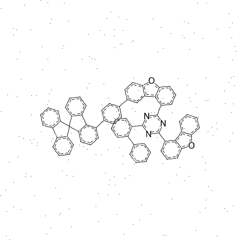 c1ccc(-c2ccccc2-c2nc(-c3cccc4oc5ccccc5c34)nc(-c3cccc4oc5ccc(-c6ccc(-c7cccc8c7-c7ccccc7C87c8ccccc8-c8ccccc87)cc6)cc5c34)n2)cc1